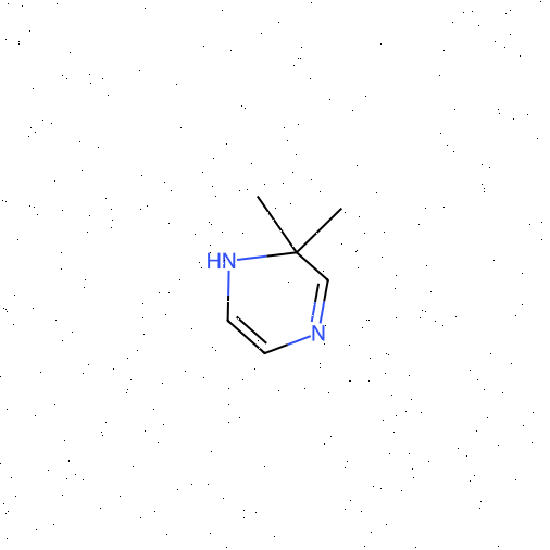 CC1(C)C=NC=CN1